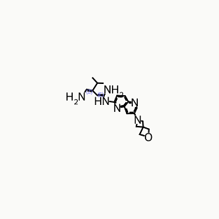 CC(C)C(=C/N)/C=C(\N)Nc1ccc2ncc(N3CC4(COC4)C3)cc2n1